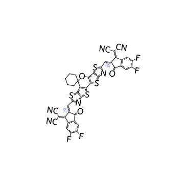 N#CC(C#N)=C1/C(=C/c2nc3sc4c(c3s2)OC2(CCCCC2)c2c-4sc3nc(/C=C4\C(=O)c5cc(F)c(F)cc5C4=C(C#N)C#N)sc23)C(=O)c2cc(F)c(F)cc21